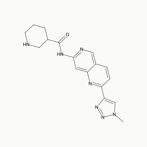 Cn1cc(-c2ccc3cnc(NC(=O)C4CCCNC4)cc3n2)nn1